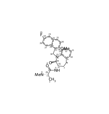 CN[C@@H](C)C(=O)N[C@H]1CCc2ccccc2N(Cc2c(OC)ccc3cc(F)ccc23)C1=O